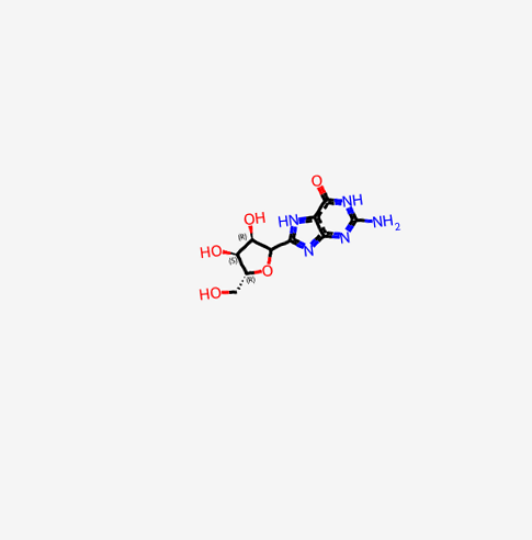 Nc1nc2nc(C3O[C@H](CO)[C@@H](O)[C@H]3O)[nH]c2c(=O)[nH]1